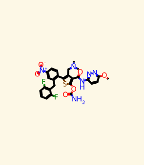 COc1ccc(NC(=O)c2c(OC(N)=O)sc(-c3ccc([N+](=O)[O-])cc3Cc3c(F)cccc3F)c2CN(C)C)nn1